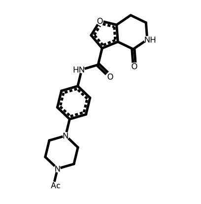 CC(=O)N1CCN(c2ccc(NC(=O)c3coc4c3C(=O)NCC4)cc2)CC1